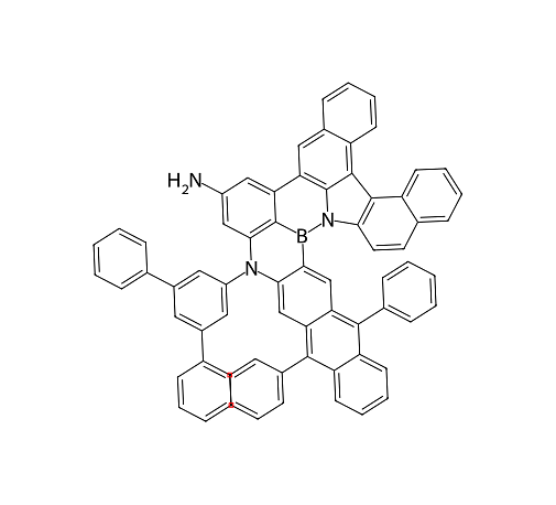 Nc1cc2c3c(c1)N(c1cc(-c4ccccc4)cc(-c4ccccc4)c1)c1cc4c(-c5ccccc5)c5ccccc5c(-c5ccccc5)c4cc1B3n1c3ccc4ccccc4c3c3c4ccccc4cc-2c31